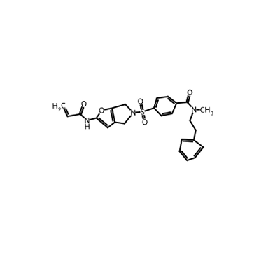 C=CC(=O)Nc1cc2c(o1)CN(S(=O)(=O)c1ccc(C(=O)N(C)CCc3ccccc3)cc1)C2